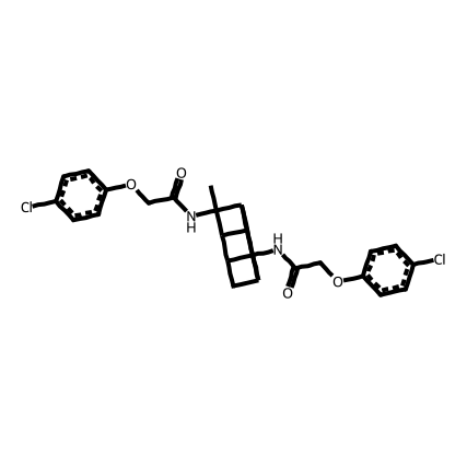 CC1(NC(=O)COc2ccc(Cl)cc2)C2C3CC4C1C2C34NC(=O)COc1ccc(Cl)cc1